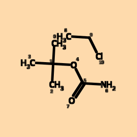 CC(C)(C)OC(N)=O.CCCl